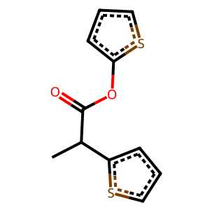 CC(C(=O)Oc1cccs1)c1cccs1